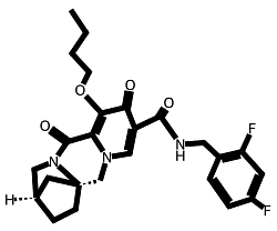 CCCCOc1c2n(cc(C(=O)NCc3ccc(F)cc3F)c1=O)C[C@@]13CC[C@@H](CN1C2=O)C3